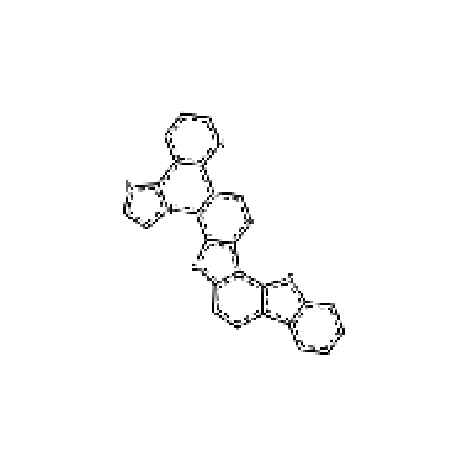 c1ccc2c(c1)sc1c2ccc2sc3c(ccc4c5ncccc5c5nccn5c43)c21